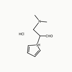 CN(C)CC(C=O)[SH]1C=CC=C1.Cl